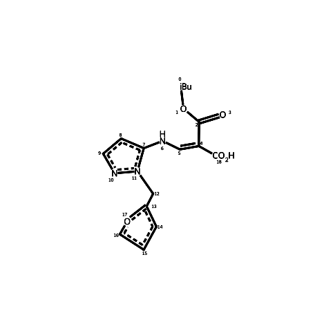 CCC(C)OC(=O)C(=CNc1ccnn1Cc1ccco1)C(=O)O